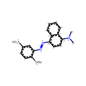 COc1ccc(S(=O)(=O)O)cc1/N=N/c1ccc(N(C)C)c2ccccc12